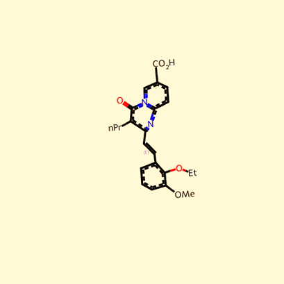 CCCc1c(/C=C/c2cccc(OC)c2OCC)nc2ccc(C(=O)O)cn2c1=O